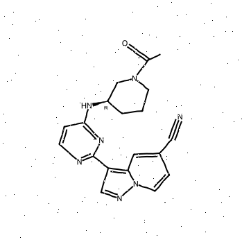 CC(=O)N1CCC[C@@H](Nc2ccnc(-c3cnn4ccc(C#N)cc34)n2)C1